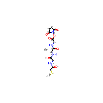 CC(=O)SCC(=O)NCC(=O)NCC(=O)NCC(=O)ON1C(=O)CCC1=O.[Na]